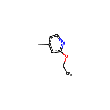 Cc1ccnc(OCC(F)(F)F)c1